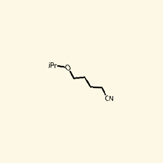 CC(C)OCCCCC#N